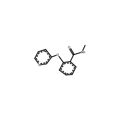 CNC(=O)c1ccccc1Oc1cccnc1